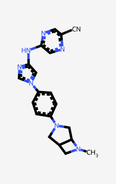 CN1CC2CN(c3ccc(-n4cnc(Nc5cnc(C#N)cn5)c4)cc3)CC21